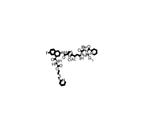 CCCN(C(=O)[C@@H](NC(=O)[C@H]1CCCCN1C)[C@@H](C)CC)[C@H](C[C@@H](OC(C)=O)c1nc(C(=O)N[C@H]2Cc3ccc(F)cc3[C@H](C(=O)NNC(=O)OCCSSc3ccccn3)C2)cs1)C(C)C